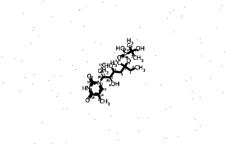 CCC(C)(CC(O)[C@@H](O)[C@@H](OC)n1cc(C)c(=O)[nH]c1=O)OP(=O)(O)C(C)(C)O